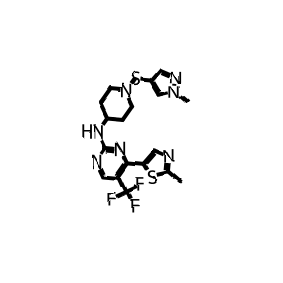 Cc1ncc(-c2nc(NC3CCN(Sc4cnn(C)c4)CC3)ncc2C(F)(F)F)s1